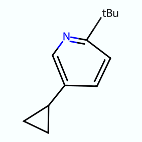 CC(C)(C)c1ccc(C2CC2)cn1